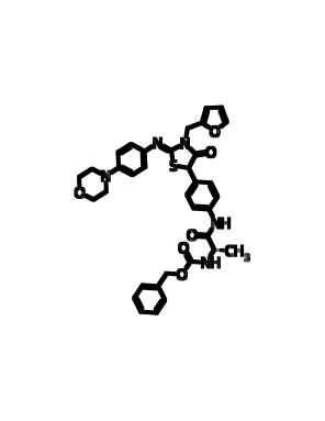 C[C@H](NC(=O)OCc1ccccc1)C(=O)Nc1ccc(C2S/C(=N\c3ccc(N4CCOCC4)cc3)N(Cc3ccco3)C2=O)cc1